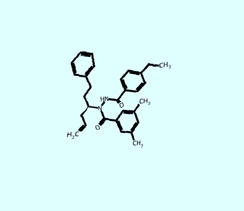 C=CC[C@@H](CCc1ccccc1)N(NC(=O)c1ccc(CC)cc1)C(=O)c1cc(C)cc(C)c1